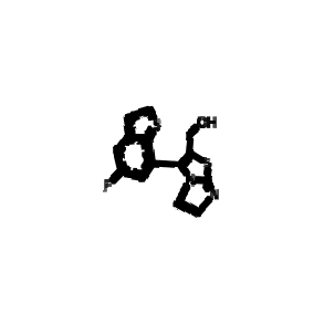 OCC1=C(c2cc(F)cc3ccsc23)N2CCN=C2S1